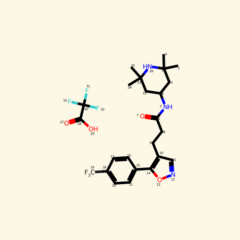 CC1(C)CC(NC(=O)CCc2cnoc2-c2ccc(C(F)(F)F)cc2)CC(C)(C)N1.O=C(O)C(F)(F)F